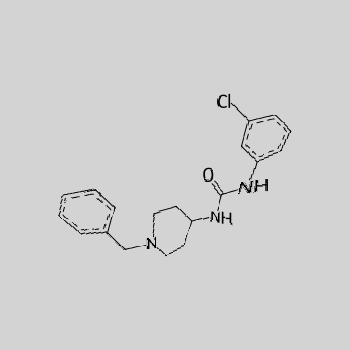 O=C(Nc1cccc(Cl)c1)NC1CCN(Cc2ccccc2)CC1